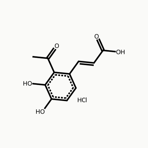 CC(=O)c1c(C=CC(=O)O)ccc(O)c1O.Cl